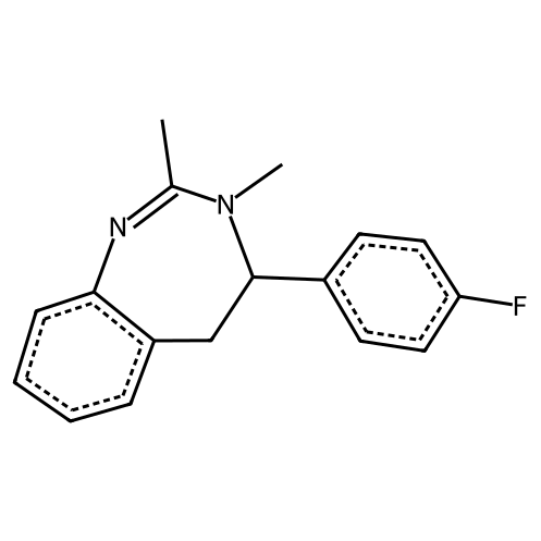 CC1=Nc2ccccc2CC(c2ccc(F)cc2)N1C